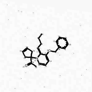 CCC/C=C1\C(OCc2ccccc2)=CC=CN1C1(C(C)=O)CC=CC1